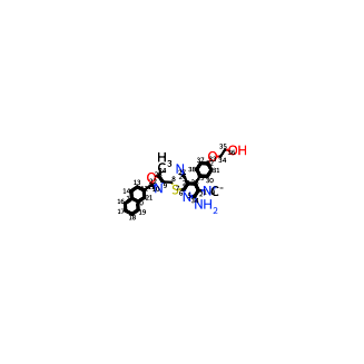 [C-]#[N+]c1c(N)nc(SCc2nc(-c3ccc4ccccc4c3)oc2C)c(C#N)c1-c1ccc(OCCO)cc1